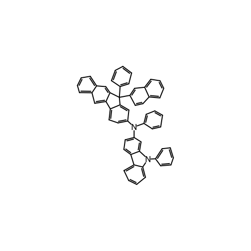 c1ccc(N(c2ccc3c(c2)C(c2ccccc2)(c2ccc4ccccc4c2)c2cc4ccccc4cc2-3)c2ccc3c4ccccc4n(-c4ccccc4)c3c2)cc1